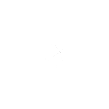 Br.C[N+](C)(C)C.Cl